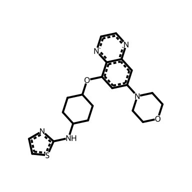 c1csc(NC2CCC(Oc3cc(N4CCOCC4)cc4nccnc34)CC2)n1